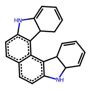 C1=CCC2C(=C1)Nc1ccc3ccc4c(c3c12)C1C=CC=CC1N4